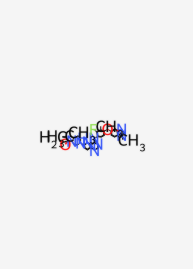 C=CC(=O)N1CCN(c2ccc3ncnc(Nc4ccc(Oc5ccc6c(c5)ncn6C)c(C)c4F)c3n2)CCC1(C)C